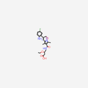 CCOC(CNC(=O)c1c(C)[nH]c(/C=C(\C=O)c2cc(F)ccc2N)c1C)CC(=O)O